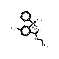 CCNC(=O)c1ccc(C)cc1P(C)(=O)c1ccccc1